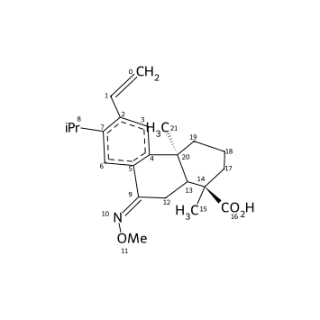 C=Cc1cc2c(cc1C(C)C)/C(=N/OC)CC1[C@](C)(C(=O)O)CCC[C@]21C